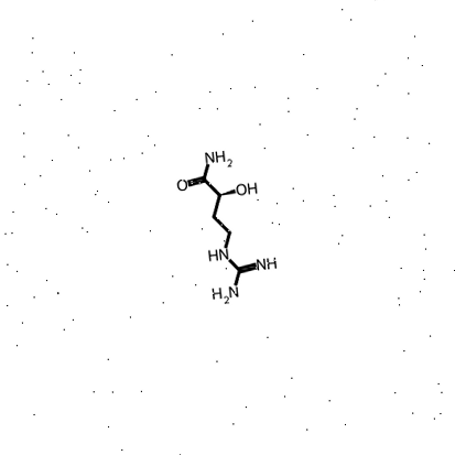 N=C(N)NCC[C@H](O)C(N)=O